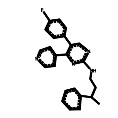 CC(CCNc1ncc(-c2ccc(F)cc2)c(-c2ccncc2)n1)c1ccccc1